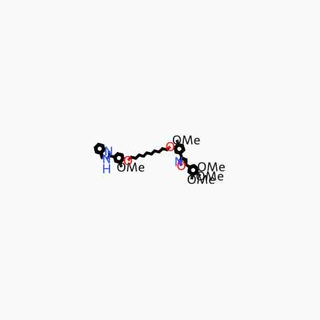 COc1cc(C2N=c3ccccc3=CN2)ccc1OCCCCCCCCCCOc1cc(-c2cc(-c3cc(OC)c(OC)c(OC)c3)on2)ccc1OC